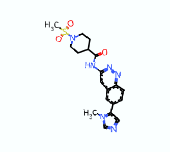 Cn1cncc1-c1ccc2nnc(NC(=O)C3CCN(S(C)(=O)=O)CC3)cc2c1